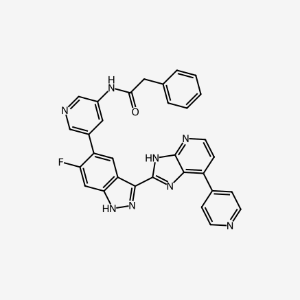 O=C(Cc1ccccc1)Nc1cncc(-c2cc3c(-c4nc5c(-c6ccncc6)ccnc5[nH]4)n[nH]c3cc2F)c1